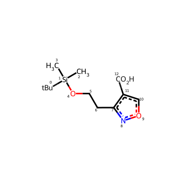 CC(C)(C)[Si](C)(C)OCCc1nocc1C(=O)O